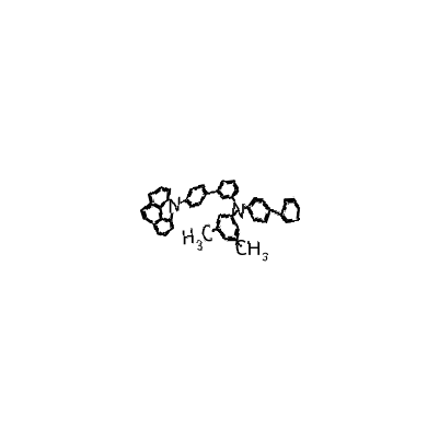 Cc1cc(C)cc(N(c2ccc(-c3ccccc3)cc2)c2cccc(-c3ccc(-n4c5cccc6ccc7cccc4c7c65)cc3)c2)c1